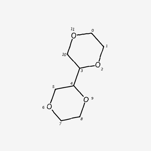 C1COC(C2COCCO2)CO1